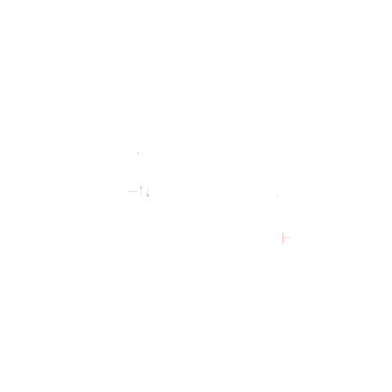 CCC(=O)Nc1ccc2cc(C(=O)O)ccc2c1